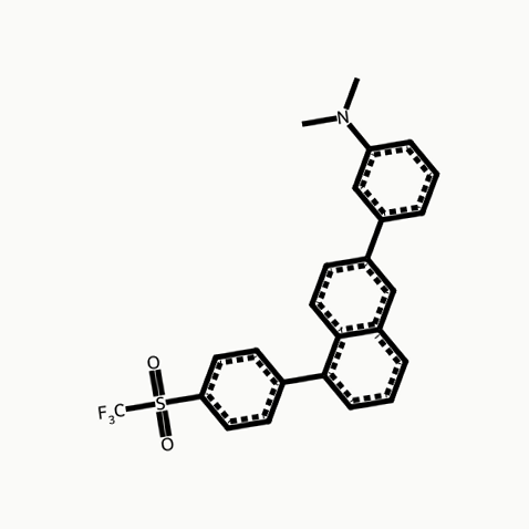 CN(C)c1cccc(-c2ccc3c(-c4ccc(S(=O)(=O)C(F)(F)F)cc4)cccc3c2)c1